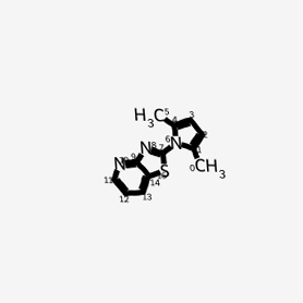 Cc1ccc(C)n1-c1nc2ncccc2s1